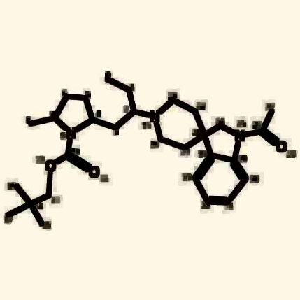 CCC(CC1CCC(C)N1C(=O)OCC(C)(C)C)N1CCC2(CC1)CN(C(C)=O)c1ccccc12